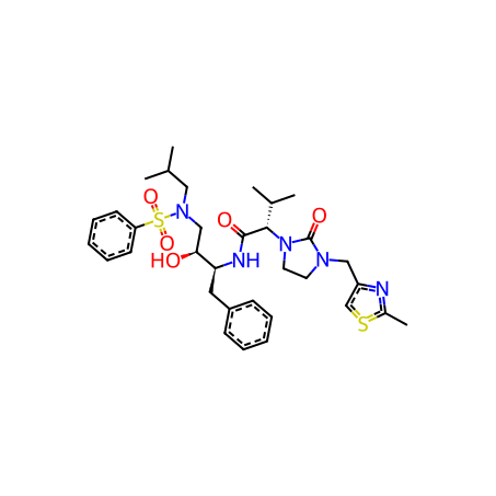 Cc1nc(CN2CCN([C@H](C(=O)N[C@@H](Cc3ccccc3)[C@@H](O)CN(CC(C)C)S(=O)(=O)c3ccccc3)C(C)C)C2=O)cs1